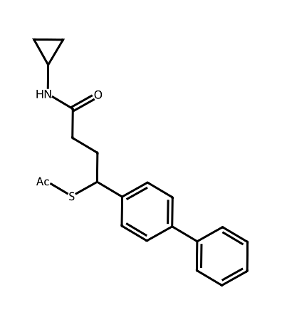 CC(=O)SC(CCC(=O)NC1CC1)c1ccc(-c2ccccc2)cc1